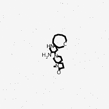 CN1C(=O)CCC12CCN(C1CC3(CCCCCCCCCC3)NCC1N)CC2